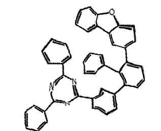 c1ccc(-c2nc(-c3ccccc3)nc(-c3cccc(-c4cccc(-c5ccc6oc7ccccc7c6c5)c4-c4ccccc4)c3)n2)cc1